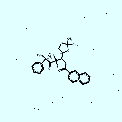 CC1(C)OC[C@H]([C@@H](OC(=O)c2ccc3ccccc3c2)C(F)(F)C(=O)[C@](C)(N)c2ccccc2)O1